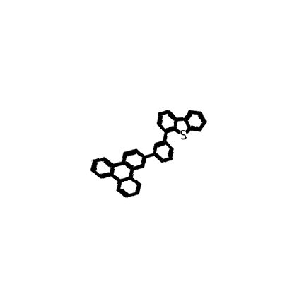 C1=CC2c3ccccc3C3=C(CC(c4cccc(-c5cccc6c5sc5ccccc56)c4)C=C3)C2CC1